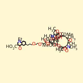 CC[C@H]1OC(=O)[C@H](C)[C@@H](O[C@H]2C[C@@](C)(OC)[C@@H](OC(=O)CCOCCOCCCc3ccc4c(c3)c(=O)c(C(=O)O)cn4CC)[C@H](C)O2)[C@H](C)[C@@H](O[C@@H]2O[C@H](C)C[C@H](N(C)C)[C@H]2O)[C@](C)(OC)C[C@@H](C)C(=O)[C@H](C)C2N(C)C(=O)C23O[C@]13C